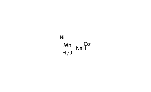 O.[Co].[Mn].[NaH].[Ni]